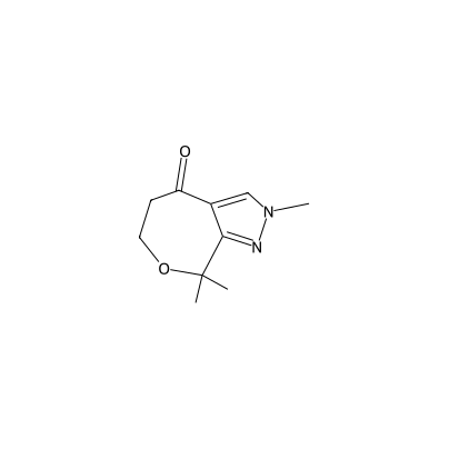 Cn1cc2c(n1)C(C)(C)OCCC2=O